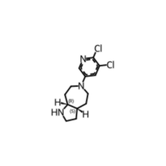 Clc1cc(N2CC[C@@H]3CCN[C@@H]3CC2)cnc1Cl